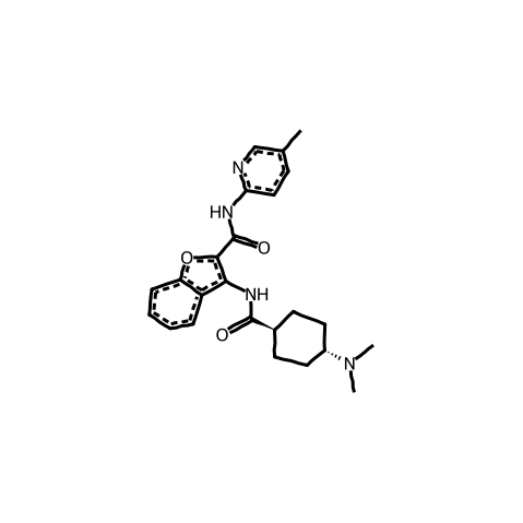 Cc1ccc(NC(=O)c2oc3ccccc3c2NC(=O)[C@H]2CC[C@H](N(C)C)CC2)nc1